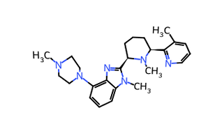 Cc1cccnc1[C@@H]1CCC[C@H](c2nc3c(N4CCN(C)CC4)cccc3n2C)N1C